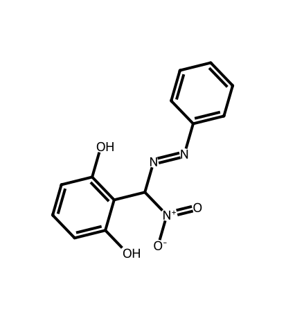 O=[N+]([O-])C(/N=N/c1ccccc1)c1c(O)cccc1O